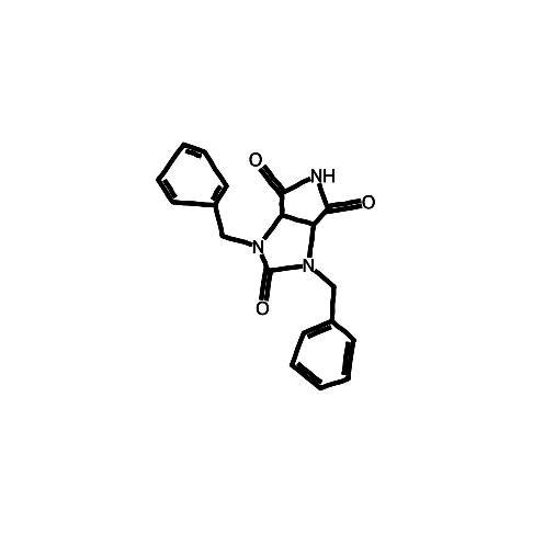 O=C1NC(=O)C2C1N(Cc1ccccc1)C(=O)N2Cc1ccccc1